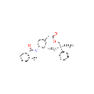 CCOC(=O)C(COC(=O)Cc1ccc(NC(=O)c2ccccc2C(F)(F)F)cc1)(C(=O)OCC)c1ccccc1